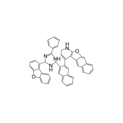 C1=C(c2cc3ccccc3cc2C2NC(c3ccccc3)=NC(c3cccc4oc5ccccc5c34)N2)c2c(oc3cc4ccccc4cc23)NC1